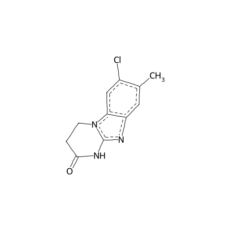 Cc1cc2nc3n(c2cc1Cl)CCC(=O)N3